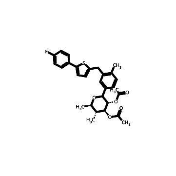 CC(=O)O[C@H]1[C@H](C)[C@@H](C)OC(c2ccc(C)c(Cc3ccc(-c4ccc(F)cc4)s3)c2)[C@@H]1OC(C)=O